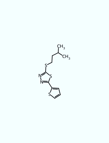 CC(C)CCSc1nnc(-c2cccs2)s1